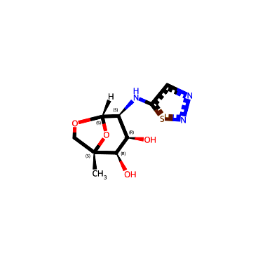 C[C@@]12CO[C@@H](O1)[C@@H](Nc1cnns1)[C@@H](O)[C@H]2O